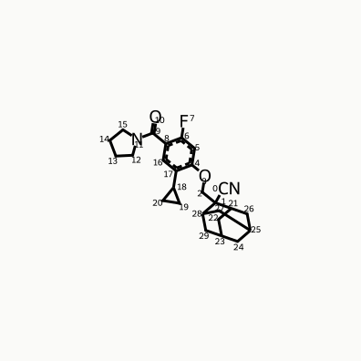 N#CC1(COc2cc(F)c(C(=O)N3CCCC3)cc2C2CC2)C2CC3CC(C2)CC1C3